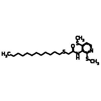 CCCCCCCCCCCCSCC(=O)Nc1c(SC)ccnc1SC